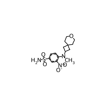 CN(c1ccc(S(N)(=O)=O)cc1[N+](=O)[O-])C1CC2(CCOCC2)C1